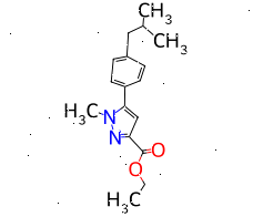 CCOC(=O)c1cc(-c2ccc(CC(C)C)cc2)n(C)n1